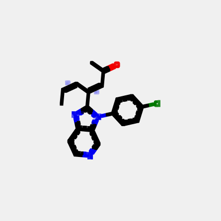 C/C=C\C(=C/C(C)=O)c1nc2ccncc2n1-c1ccc(Cl)cc1